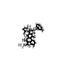 CCC1CCC2COc3c(Cl)c(-c4ccc(F)c5sc(N)c(C#N)c45)c(F)c4nc(OC[C@@]56CCCN5C[C@H](F)C6)nc(c34)N12